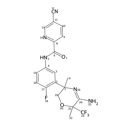 CC1(c2cc(NC(=O)c3ccc(C#N)cn3)ccc2F)COC(C)(C(F)(F)F)C(N)=N1